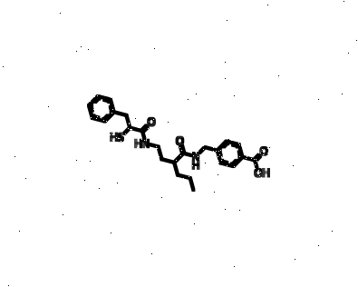 CCCC(CCNC(=O)C(S)Cc1ccccc1)C(=O)NCc1ccc(C(=O)O)cc1